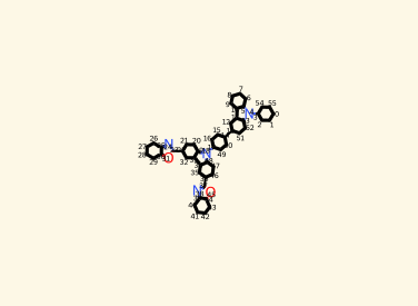 c1ccc(-n2c3ccccc3c3cc(-c4ccc(-n5c6ccc(-c7nc8ccccc8o7)cc6c6cc(-c7nc8ccccc8o7)ccc65)cc4)ccc32)cc1